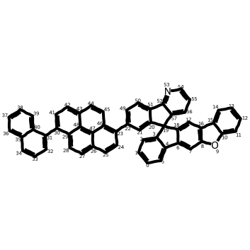 c1ccc2c(c1)-c1cc3oc4ccccc4c3cc1C21c2cc(-c3ccc4ccc5c(-c6cccc7ccccc67)ccc6ccc3c4c65)ccc2-c2ncccc21